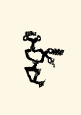 COC1(C)CN(C(=O)OC(C)(C)C)CCN(c2cccc(Br)n2)C1